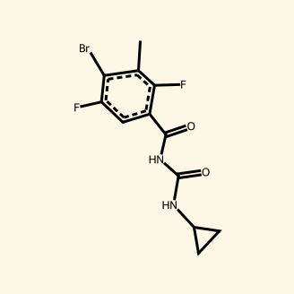 Cc1c(F)c(C(=O)NC(=O)NC2CC2)cc(F)c1Br